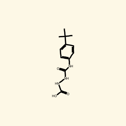 CC(C)(C)c1ccc(NC(=O)NNC(=O)O)cc1